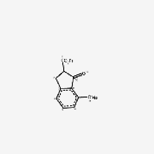 CCOC(=O)C1Cc2cccc(OC)c2C1=O